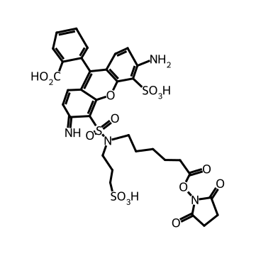 N=c1ccc2c(-c3ccccc3C(=O)O)c3ccc(N)c(S(=O)(=O)O)c3oc-2c1S(=O)(=O)N(CCCCCC(=O)ON1C(=O)CCC1=O)CCCS(=O)(=O)O